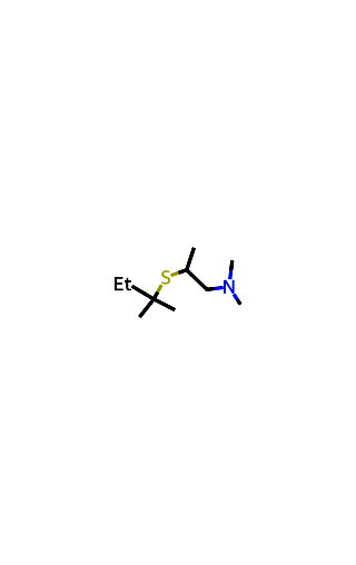 CCC(C)(C)SC(C)CN(C)C